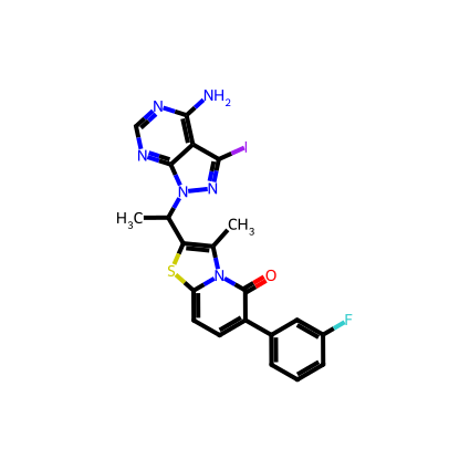 Cc1c(C(C)n2nc(I)c3c(N)ncnc32)sc2ccc(-c3cccc(F)c3)c(=O)n12